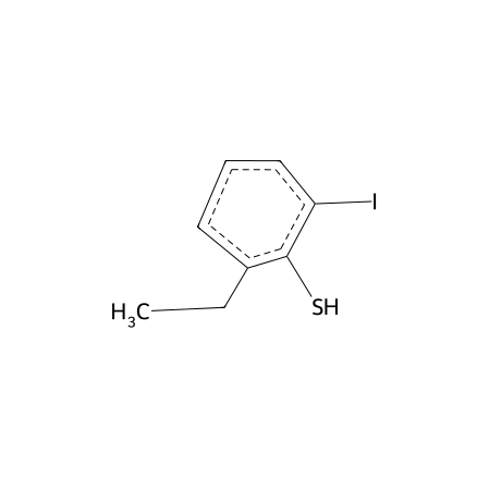 CCc1cccc(I)c1S